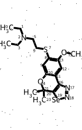 CCN(CC)CCSc1cc2c(cc1OC)-c1nn[se]c1C(C)(C)O2